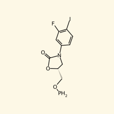 O=C1O[C@@H](COP)CN1c1ccc(I)c(F)c1